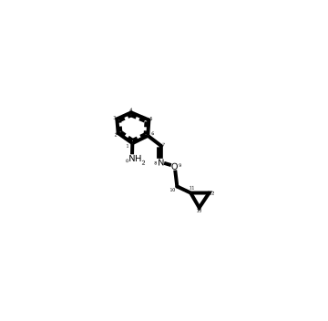 Nc1ccccc1C=NOCC1CC1